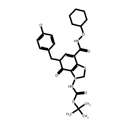 CC(C)(C)OC(=O)NN1CSC2=C1C(=O)C(Cc1ccc(Cl)cc1)C=C2C(=O)NOC1CCCCC1